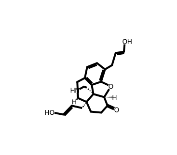 O=C1CC[C@@]2(CC=CO)[C@H]3Cc4ccc(CC=CO)c5c4[C@@]2(CCN3)[C@H]1O5